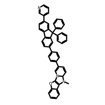 CN1c2c(oc3ccccc23)N2C=C(c3ccc(-c4ccc5c(c4)C(c4ccccc4)(c4ccccc4)c4cc(-c6cccnc6)ccc4-5)cc3)C=CC12